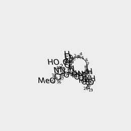 CC[C@@H]1C[C@H](C)CCC=C[C@@H]2C[C@@]2(C(=O)NS(=O)(=O)C2CC2)NC(=O)[C@@H]2C[C@@H](Oc3ncnc4cc(OC)ccc34)CN2C(=O)[C@H]1NC(=O)O